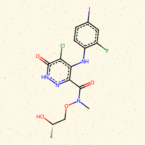 C[C@H](O)CON(C)C(=O)c1n[nH]c(=O)c(Cl)c1Nc1ccc(I)cc1F